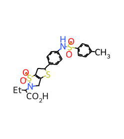 CCC(C(=O)O)N1CC2=C(CC(c3ccc(NS(=O)(=O)c4ccc(C)cc4)cc3)S2)S1(=O)=O